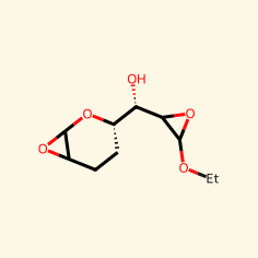 CCOC1OC1[C@@H](O)[C@@H]1CCC2OC2O1